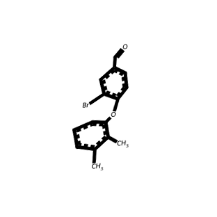 Cc1cccc(Oc2ccc(C=O)cc2Br)c1C